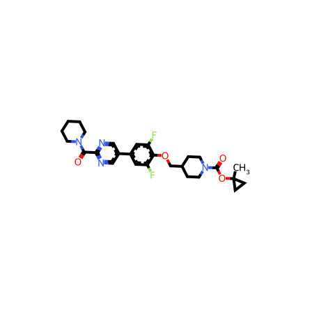 CC1(OC(=O)N2CCC(COc3c(F)cc(-c4cnc(C(=O)N5CCCCC5)nc4)cc3F)CC2)CC1